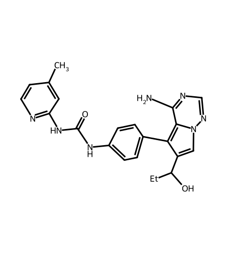 CCC(O)c1cn2ncnc(N)c2c1-c1ccc(NC(=O)Nc2cc(C)ccn2)cc1